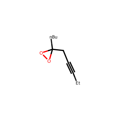 CCC#CCC1(CCCC)OO1